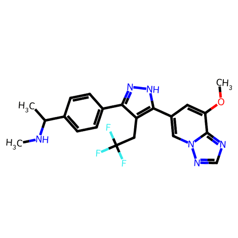 CNC(C)c1ccc(-c2n[nH]c(-c3cc(OC)c4ncnn4c3)c2CC(F)(F)F)cc1